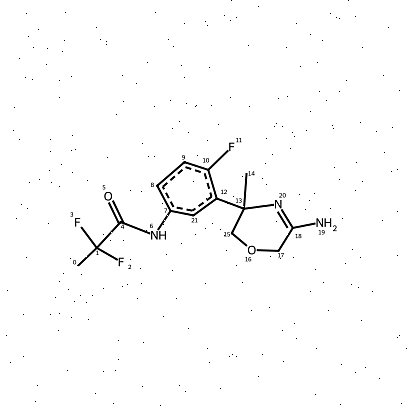 CC(F)(F)C(=O)Nc1ccc(F)c(C2(C)COCC(N)=N2)c1